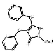 CCCCCn1[nH]c(Nc2ccccc2)c(Sc2ccccc2)c1=O